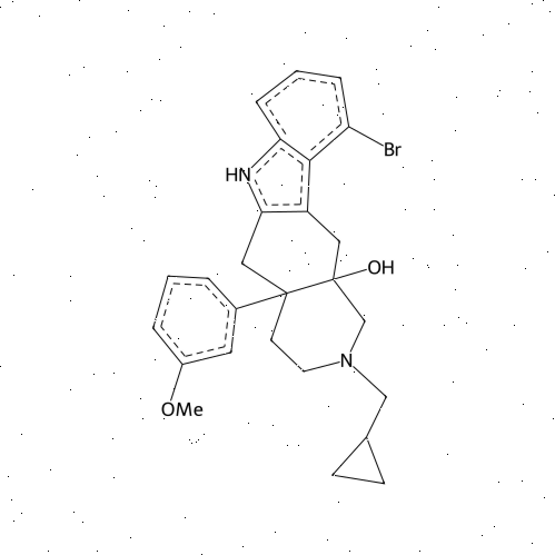 COc1cccc(C23CCN(CC4CC4)CC2(O)Cc2c([nH]c4cccc(Br)c24)C3)c1